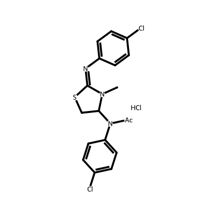 CC(=O)N(c1ccc(Cl)cc1)C1CSC(=Nc2ccc(Cl)cc2)N1C.Cl